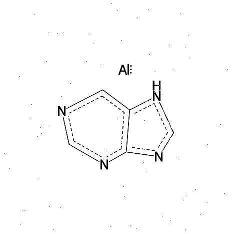 [Al].c1ncc2[nH]cnc2n1